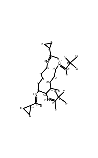 CC(=NCCCCC(N=C(C)C1CC1)C(N=C(C)C(C)(C)C)C(C)CCCN=C(C)C(C)(C)C)C1CC1